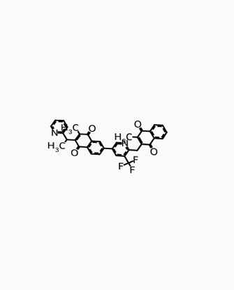 CC1=C(Cc2ncc(-c3ccc4c(c3)C(=O)C(C)=C(C(C)c3ccccn3)C4=O)cc2C(F)(F)F)C(=O)c2ccccc2C1=O